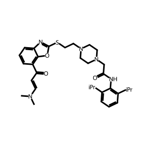 CC(C)c1cccc(C(C)C)c1NC(=O)CN1CCN(CCSc2nc3cccc(C(=O)/C=C/N(C)C)c3o2)CC1